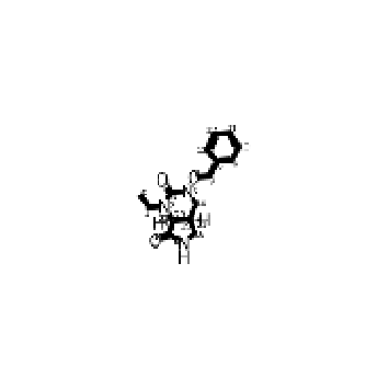 CCN1C(=O)N(OCc2ccccc2)C[C@H]2CNC(=O)[C@H]21